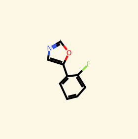 Fc1ccccc1-c1cn[c]o1